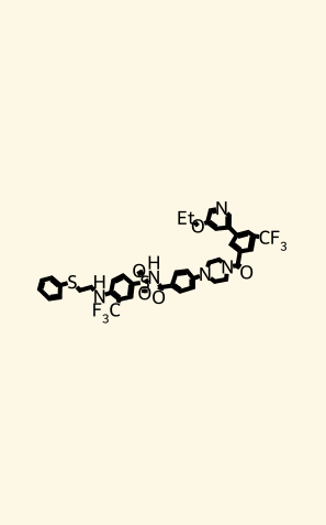 CCOc1cncc(-c2cc(C(=O)N3CCN(c4ccc(C(=O)NS(=O)(=O)c5ccc(NCCSc6ccccc6)c(C(F)(F)F)c5)cc4)CC3)cc(C(F)(F)F)c2)c1